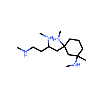 CNCCC(CC1(NC)CCCC(C)(NC)C1)NC